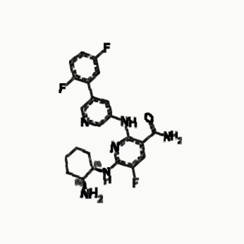 NC(=O)c1cc(F)c(N[C@@H]2CCCC[C@@H]2N)nc1Nc1cncc(-c2cc(F)ccc2F)c1